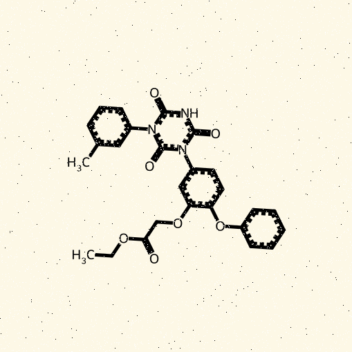 CCOC(=O)COc1cc(-n2c(=O)[nH]c(=O)n(-c3cccc(C)c3)c2=O)ccc1Oc1ccccc1